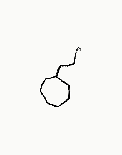 CC(C)CC[C]1CCCCCC1